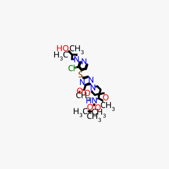 COC(=O)c1nc(Sc2ccnc(N3CC(C(C)(C)O)C3)c2Cl)cnc1N1CCC2(CC1)CO[C@@H](C)[C@H]2NC(=O)OC(C)(C)C